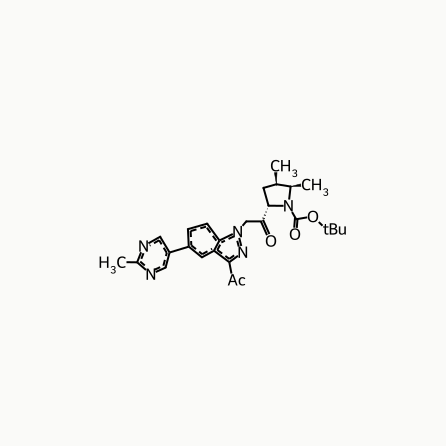 CC(=O)c1nn(CC(=O)[C@@H]2C[C@@H](C)[C@@H](C)N2C(=O)OC(C)(C)C)c2ccc(-c3cnc(C)nc3)cc12